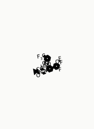 O=C(O)C1(C(=O)N2CCN(c3ccc(-c4cc(F)cc(OC(F)F)c4)cc3NS(=O)(=O)c3cccc(C(F)(F)F)c3)CC2)CC1